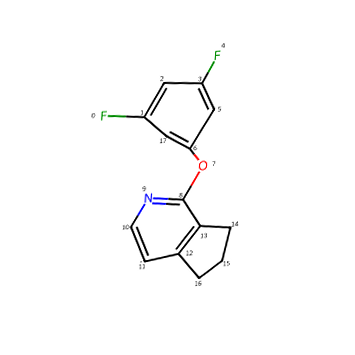 Fc1cc(F)cc(Oc2nc[c]c3c2CCC3)c1